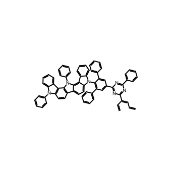 C=C/C=C(\C=C)c1nc(-c2ccccc2)nc(-c2cc(-c3ccccc3)c(-n3c4ccccc4c4c3ccc3c5ccc6c(c7ccccc7n6-c6ccccc6)c5n(-c5ccccc5)c34)c(-c3ccccc3)c2)n1